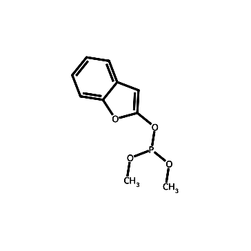 COP(OC)Oc1cc2ccccc2o1